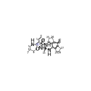 C=C/C(=C1\NCC(C)CO1)S(=N)(=O)NC(=C)Nc1c2c(c(F)c3c1CCC3)CCC2